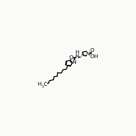 CCCCCCCCCCc1ccc2oc(NC[C@@H]3CCN(C(=O)O)C3)nc2c1